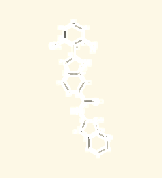 O=C(Nc1nc2cccnc2s1)c1ccc2cc(-c3c(Cl)cccc3Cl)[nH]c2c1